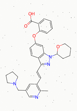 Cc1ncc(CN2CCCC2)cc1/C=C/c1nn(C2CCCCO2)c2cc(Oc3ccccc3C(=O)O)ccc12